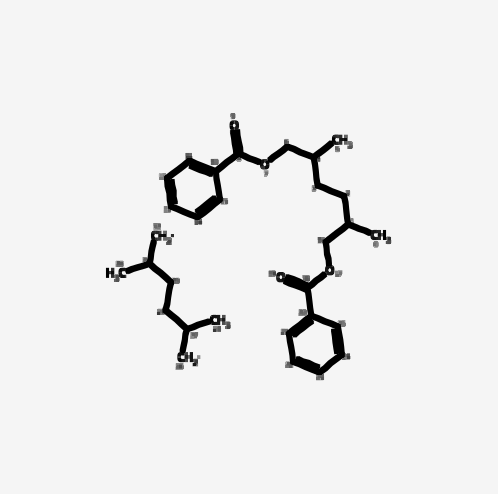 CC(CCC(C)COC(=O)c1ccccc1)COC(=O)c1ccccc1.[CH2]C(C)CCC([CH2])C